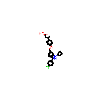 CC(CC(=O)O)c1ccc(OCc2ccc3c(-c4ccc(Cl)cc4)nn(C4CCCC4)c3c2)cc1